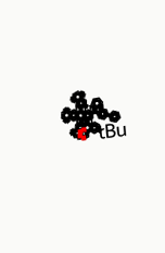 Cc1cc2c(cc1N1c3cc4c(cc3B3c5cc6c(cc5N(c5ccc(C(C)(C)C)cc5-c5ccccc5)c5cc(N7c8ccc(-c9ccccc9)cc8C8(C)CCCCC78C)cc1c53)C(C)(C)CC6(C)C)C(C)(C)CCC4(C)C)C(C)(C)CCC2(C)C